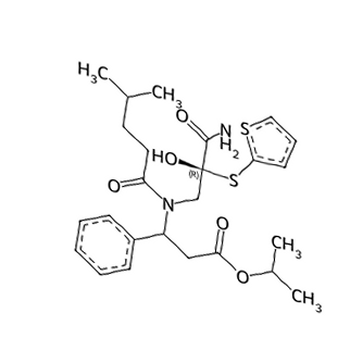 CC(C)CCC(=O)N(C[C@@](O)(Sc1cccs1)C(N)=O)C(CC(=O)OC(C)C)c1ccccc1